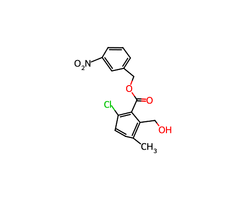 Cc1ccc(Cl)c(C(=O)OCc2cccc([N+](=O)[O-])c2)c1CO